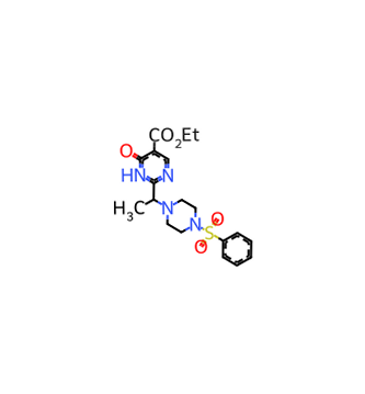 CCOC(=O)c1cnc(C(C)N2CCN(S(=O)(=O)c3ccccc3)CC2)[nH]c1=O